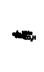 C=CCOC(=O)N(CC1CCN(C2(CC(=O)NC)CN(C(=O)O)C2)CC1)[C@@H]1C[C@H]1c1ccccc1